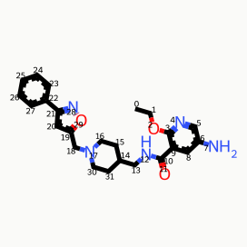 CCOc1ncc(N)cc1C(=O)NCC1CCN(Cc2cc(-c3ccccc3)no2)CC1